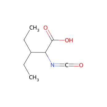 CCC(CC)C(N=C=O)C(=O)O